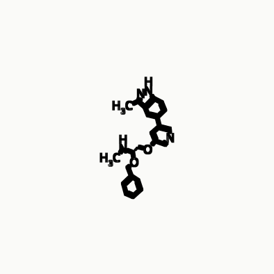 CN[C@H](COc1cncc(-c2ccc3[nH]nc(C)c3c2)c1)OCc1ccccc1